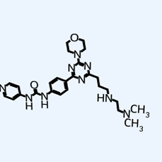 CN(C)CCNCCCc1nc(-c2ccc(NC(=O)Nc3ccncc3)cc2)nc(N2CCOCC2)n1